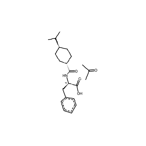 CC(C)=O.CC(C)[C@H]1CC[C@H](C(=O)N[C@H](Cc2ccccc2)C(=O)O)CC1